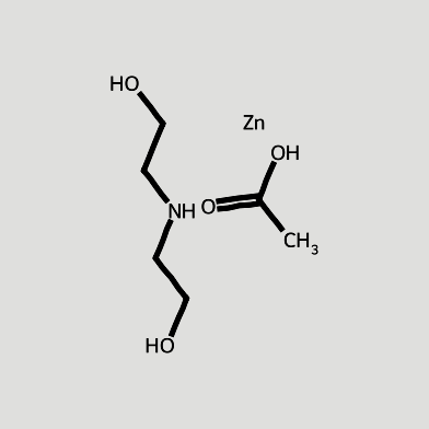 CC(=O)O.OCCNCCO.[Zn]